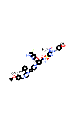 COc1cc(CN2CCN(C3CC4(CCN(c5ccc(C(=O)NS(=O)(=O)c6cnc(NC[C@H]7CC[C@](C)(O)CC7)c([NH+](C)[O-])c6)c(Oc6cc7c(F)c[nH]c7nc6OC)c5)CC4)C3)[C@H](c3ccccc3C(C)C)C2)ccc1OC1CC1